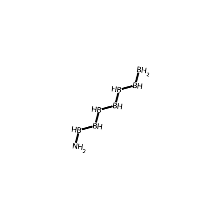 BBBBBBBN